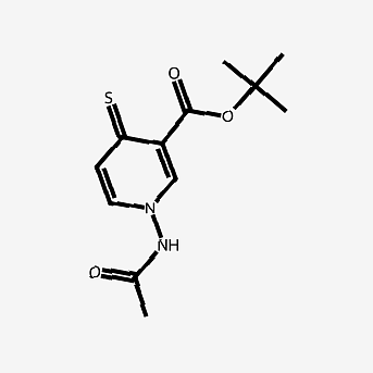 CC(=O)Nn1ccc(=S)c(C(=O)OC(C)(C)C)c1